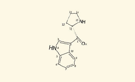 O=C(c1c[nH]c2ccccc12)[C@@H]1CCCN1